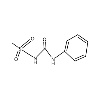 CS(=O)(=O)NC(=O)Nc1ccccc1